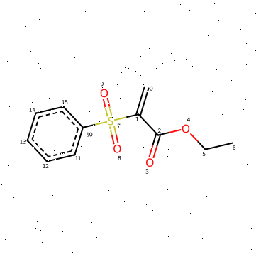 C=C(C(=O)OCC)S(=O)(=O)c1ccccc1